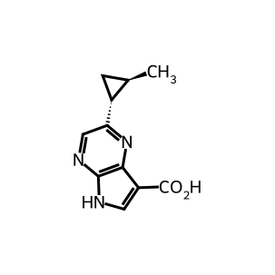 C[C@@H]1C[C@H]1c1cnc2[nH]cc(C(=O)O)c2n1